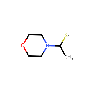 CC([S])N1CCOCC1